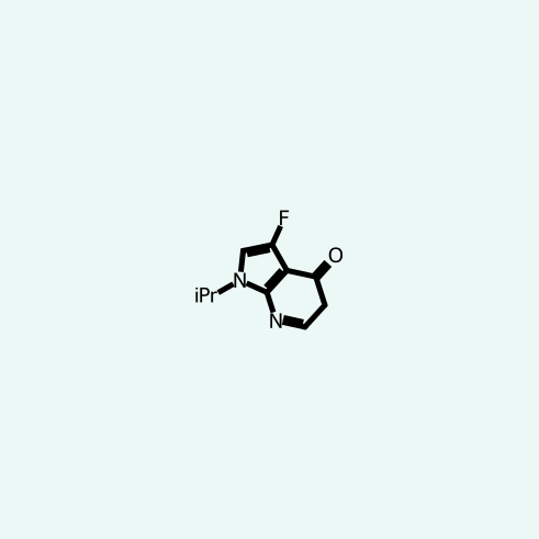 CC(C)n1cc(F)c2c1N=CCC2=O